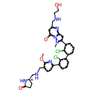 COc1nc(-c2cccc(-c3cccc(-c4cc5nc(CNCCO)cc(=O)n5n4C)c3Cl)c2Cl)ccc1CNC[C@H]1CCC(=O)N1